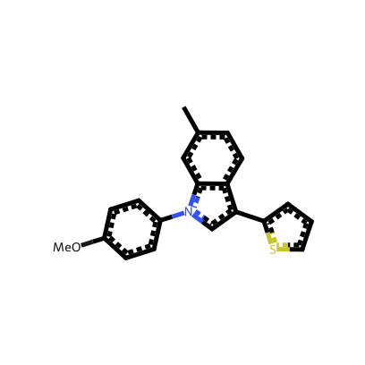 COc1ccc(-n2cc(-c3cccs3)c3ccc(C)cc32)cc1